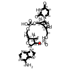 Nc1ncnc2c1ncn2[C@@H]1O[C@@H]2COP(=O)(O)O[C@@H]3[C@H](F)[C@@H](CO[PH](=O)O[C@@H]1[C@@H]2F)O[C@H]3n1ccc(=O)[nH]c1=O